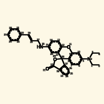 CCN(CC)c1ccc2c(c1)Oc1ccc(NCC=Cc3ccccc3)cc1C21OC(=O)c2ccccc21